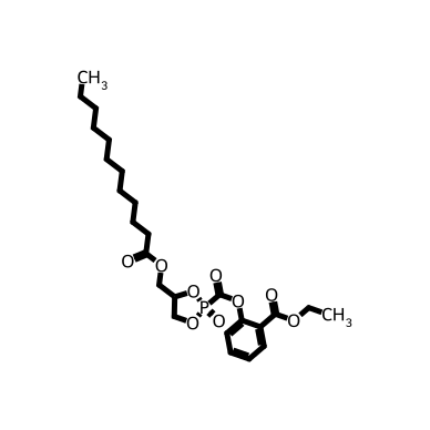 CCCCCCCCCCCC(=O)OCC1COP(=O)(C(=O)Oc2ccccc2C(=O)OCC)O1